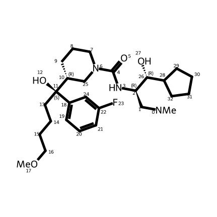 CNC[C@@H](NC(=O)N1CCC[C@@H]([C@@](O)(CCCCOC)c2cccc(F)c2)C1)[C@H](O)C1CCCC1